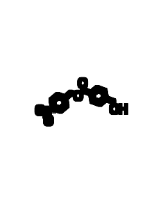 O=C(OCc1ccc([N+](=O)[O-])cc1)c1ccc(CO)cc1